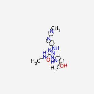 C=CCNC(=O)c1cnc(Nc2ccc3c(ccn3C3CCN(C)CC3)c2)nc1Nc1ccc2c(n1)[C@](O)(CC)CC2